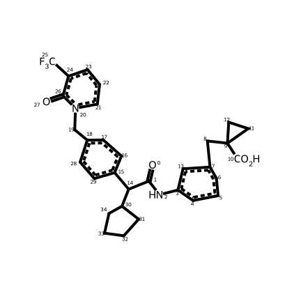 O=C(Nc1cccc(CC2(C(=O)O)CC2)c1)C(c1ccc(Cn2cccc(C(F)(F)F)c2=O)cc1)C1CCCC1